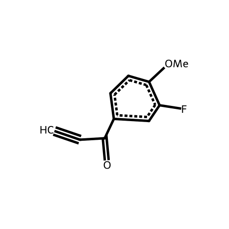 C#CC(=O)c1ccc(OC)c(F)c1